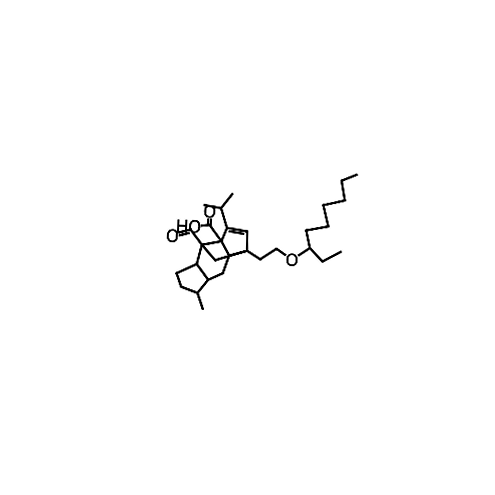 CCCCCCC(CC)OCCC12C=C(C(C)C)C3(C(=O)O)C1CC1C(C)CCC1C3(C=O)C2